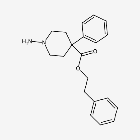 NN1CCC(C(=O)OCCc2ccccc2)(c2ccccc2)CC1